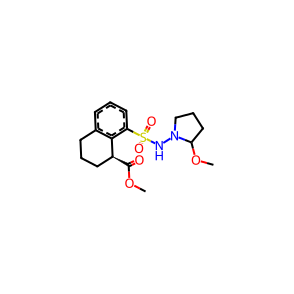 COC(=O)[C@H]1CCCc2cccc(S(=O)(=O)NN3CCCC3OC)c21